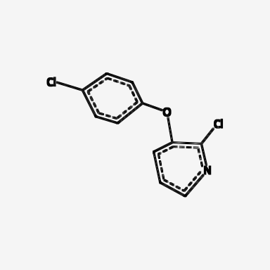 Clc1ccc(Oc2cccnc2Cl)cc1